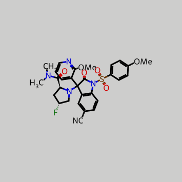 COc1ccc(S(=O)(=O)N2C(=O)C(c3cccnc3OC)(N3C[C@H](F)C[C@H]3C(=O)N(C)C)c3cc(C#N)ccc32)cc1